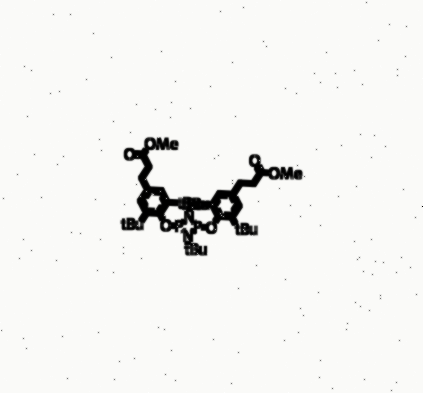 COC(=O)CCc1cc(C(C)(C)C)c(OP2N(C(C)(C)C)P(Oc3c(C(C)(C)C)cc(CCC(=O)OC)cc3C(C)(C)C)N2C(C)(C)C)c(C(C)(C)C)c1